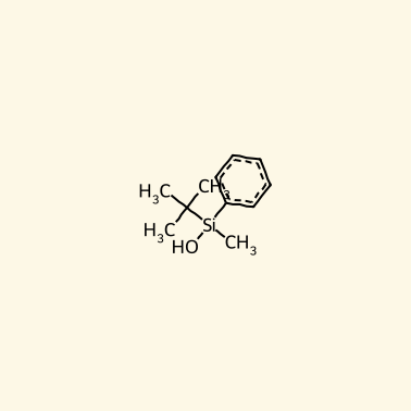 CC(C)(C)[Si](C)(O)c1ccccc1